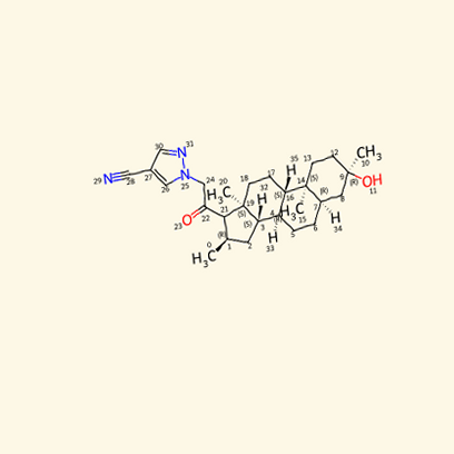 C[C@@H]1C[C@H]2[C@@H]3CC[C@@H]4C[C@](C)(O)CC[C@]4(C)[C@H]3CC[C@]2(C)C1C(=O)Cn1cc(C#N)cn1